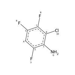 Nc1c(F)cc(F)c(F)c1Cl